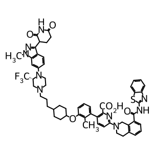 Cc1c(OC2CCC(CCCN3CCN(c4ccc5c(C6CCC(=O)NC6=O)nn(C)c5c4)[C@@H](C(F)(F)F)C3)CC2)cccc1-c1ccc(N2CCc3cccc(C(=O)Nc4nc5ccccc5s4)c3C2)nc1C(=O)O